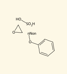 C1CO1.CCCCCCCCCOc1ccccc1.O=S(=O)(O)O